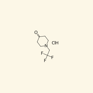 Cl.O=C1CCN(CC(F)(F)F)CC1